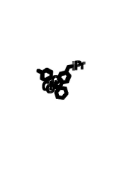 Cc1ccc(OC(=O)C2(c3ccc(CC(C)C)cc3)CCCCC2)c(C#N)c1